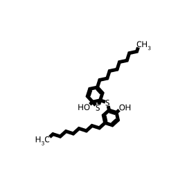 CCCCCCCCCC1=CC2(Sc3cc(CCCCCCCCC)ccc3O)SC2(O)C=C1